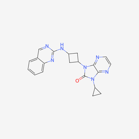 O=c1n(C2CC2)c2nccnc2n1C1CC(Nc2ncc3ccccc3n2)C1